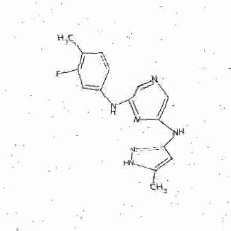 Cc1cc(Nc2cncc(Nc3ccc(C)c(F)c3)n2)n[nH]1